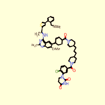 CNCc1ccccc1-c1csc([C@@H](C)Nc2nc(C)nc3cc(OC)c(C4CCC(C(=O)N5CCC(CCCC6CCN(C(=O)c7ccc(Cl)c(N8CCC(=O)NC8=O)c7)CC6)CC5)CC4)cc23)c1